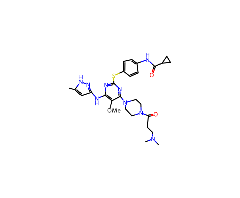 COc1c(Nc2cc(C)[nH]n2)nc(Sc2ccc(NC(=O)C3CC3)cc2)nc1N1CCN(C(=O)CCN(C)C)CC1